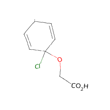 O=C(O)COC1(Cl)C=C[CH]C=C1